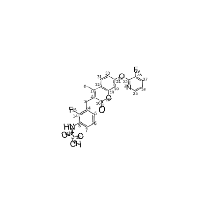 Cc1c(Cc2cccc(NS(=O)(=O)O)c2F)c(=O)oc2cc(Oc3ncccc3F)ccc12